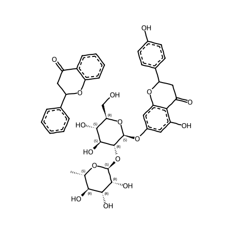 C[C@@H]1O[C@@H](O[C@H]2[C@H](Oc3cc(O)c4c(c3)OC(c3ccc(O)cc3)CC4=O)O[C@H](CO)[C@@H](O)[C@@H]2O)[C@H](O)[C@H](O)[C@H]1O.O=C1CC(c2ccccc2)Oc2ccccc21